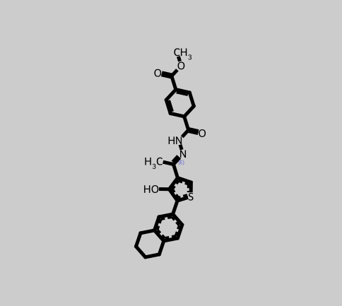 COC(=O)C1=CCC(C(=O)N/N=C(\C)c2csc(-c3ccc4c(c3)CCCC4)c2O)C=C1